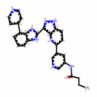 CCCC(=O)Nc1cncc(-c2ccc3[nH]nc(-c4nc5c(-c6ccncc6)cccc5[nH]4)c3n2)c1